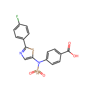 O=C(O)c1ccc(N(c2cnc(-c3ccc(F)cc3)s2)[SH](=O)=O)cc1